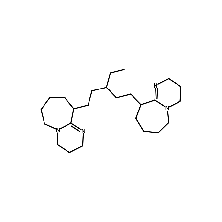 CCC(CCC1CCCCN2CCCN=C12)CCC1CCCCN2CCCN=C12